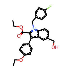 CCOC(=O)c1c(-c2ccc(OCC)cc2)c2cc(CO)ccc2n1Cc1ccc(F)cc1